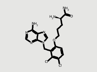 NC(=O)[C@H](N)CCCOc1ccc(Cl)c(Cl)c1Cn1cnc2c(N)ncnc21